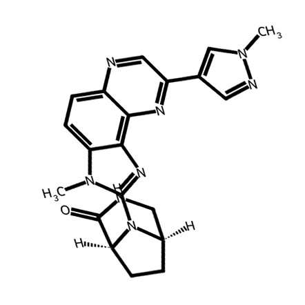 Cn1cc(-c2cnc3ccc4c(nc(N5[C@@H]6CC[C@H]5C(=O)NC6)n4C)c3n2)cn1